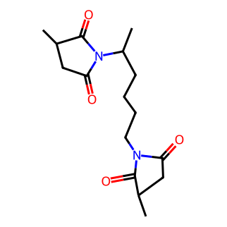 CC1CC(=O)N(CCCCC(C)N2C(=O)CC(C)C2=O)C1=O